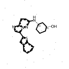 O[C@@H]1CCC[C@H](Nc2ccc3ncc(-c4cc5ccccc5s4)n3n2)C1